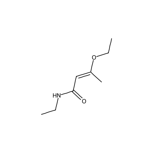 CCNC(=O)/C=C(\C)OCC